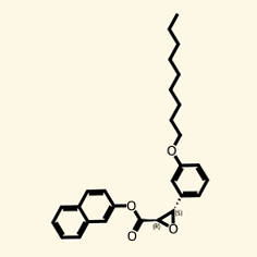 CCCCCCCCCOc1cccc([C@@H]2O[C@H]2C(=O)Oc2ccc3ccccc3c2)c1